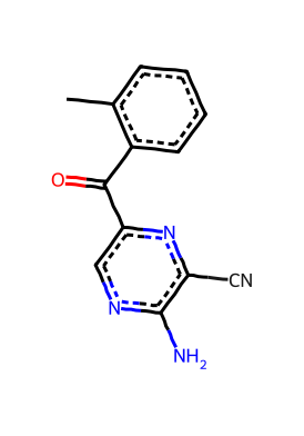 Cc1ccccc1C(=O)c1cnc(N)c(C#N)n1